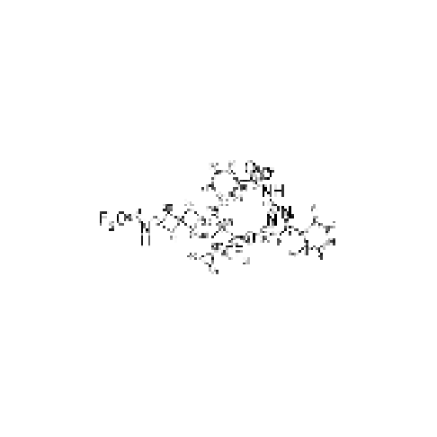 Cc1cccc(C)c1-c1cc2nc(n1)NS(=O)(=O)c1cccc(c1)C(C1CC3(CC(NCC(F)(F)F)C3)C1)[C@H](CC1(C(F)(F)F)CC1)CO2